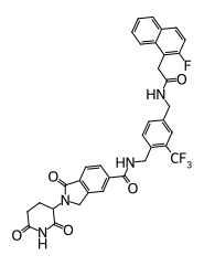 O=C(Cc1c(F)ccc2ccccc12)NCc1ccc(CNC(=O)c2ccc3c(c2)CN(C2CCC(=O)NC2=O)C3=O)c(C(F)(F)F)c1